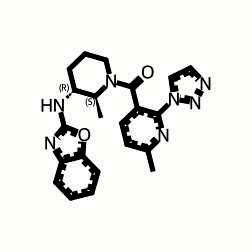 Cc1ccc(C(=O)N2CCC[C@@H](Nc3nc4ccccc4o3)[C@@H]2C)c(-n2ccnn2)n1